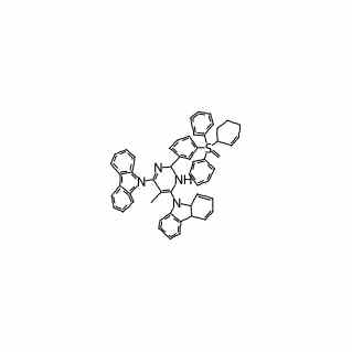 C=S(c1ccccc1)(c1ccccc1)(c1cccc(C2N=C(n3c4ccccc4c4ccccc43)C(C)=C(N3c4ccccc4C4C=CC=CC43)N2)c1)C1C=CCCC1